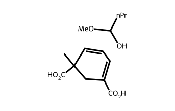 CC1(C(=O)O)C=CC=C(C(=O)O)C1.CCCC(O)OC